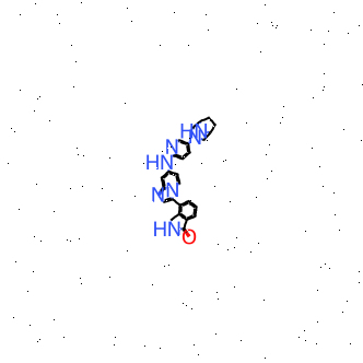 O=C1NCc2c1cccc2-c1cnc2cc(Nc3ccc(N4CC5CCC(C4)N5)cn3)ccn12